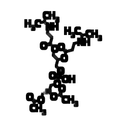 CC(=O)OC[C@H](COP(=O)(O)OCC(COC(=O)CCNC(C)C)OC(=O)CCNC(C)C)OC(C)=O